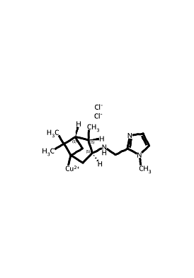 C[C@@H]1[C@@H](NCc2nccn2C)C[C]2([Cu+2])C[C@@H]1C2(C)C.[Cl-].[Cl-]